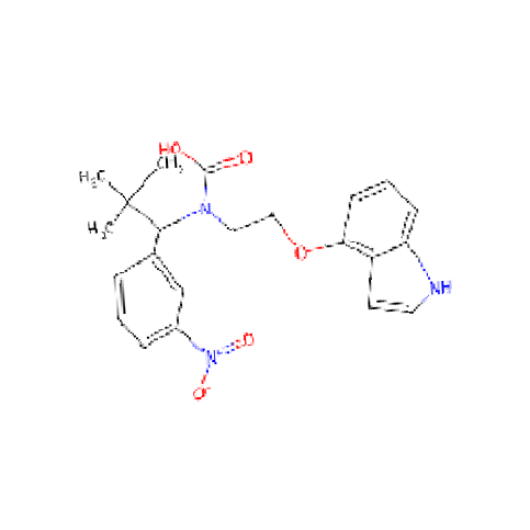 CC(C)(C)C(c1cccc([N+](=O)[O-])c1)N(CCOc1cccc2[nH]ccc12)C(=O)O